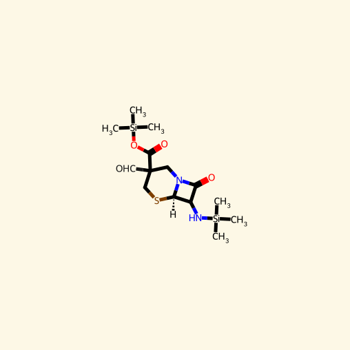 C[Si](C)(C)NC1C(=O)N2CC(C=O)(C(=O)O[Si](C)(C)C)CS[C@H]12